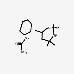 C1CCCCC1.CC1CC(C)(C)NC(C)(C)C1.NC(=O)O